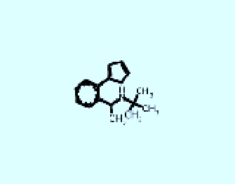 CC(NC(C)(C)C)c1ccccc1C1=CC=CC1